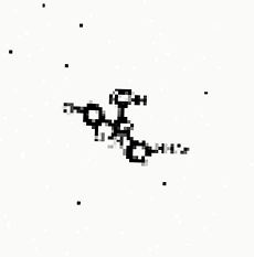 [C-]#[N+]c1c(-c2ccnc(NC(C)=O)c2)sc(-c2ncc[nH]2)c1-c1ccc(Cl)cc1Cl